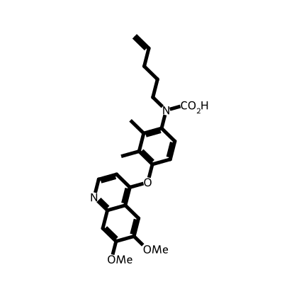 C=CCCCN(C(=O)O)c1ccc(Oc2ccnc3cc(OC)c(OC)cc23)c(C)c1C